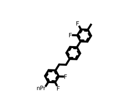 CCCc1ccc(CCc2ccc(-c3ccc(C)c(F)c3F)cc2)c(F)c1F